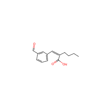 CCCCC(=Cc1cccc(C=O)c1)C(=O)O